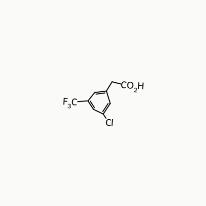 O=C(O)Cc1cc(Cl)cc(C(F)(F)F)c1